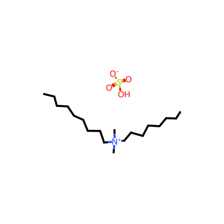 CCCCCCCCC[N+](C)(C)CCCCCCCC.O=S(=O)([O-])O